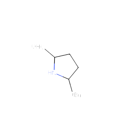 CC(C)(C)C1CCC([C]=O)N1